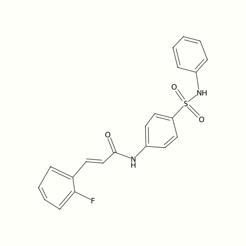 O=C(C=Cc1ccccc1F)Nc1ccc(S(=O)(=O)Nc2ccccc2)cc1